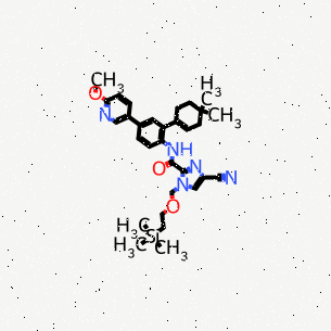 COc1ccc(-c2ccc(NC(=O)c3nc(C#N)cn3COCC[Si](C)(C)C)c(C3=CCC(C)(C)CC3)c2)cn1